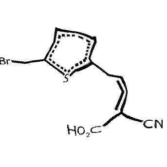 N#CC(=Cc1ccc(Br)s1)C(=O)O